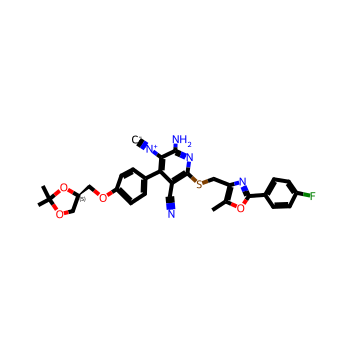 [C-]#[N+]c1c(N)nc(SCc2nc(-c3ccc(F)cc3)oc2C)c(C#N)c1-c1ccc(OC[C@H]2COC(C)(C)O2)cc1